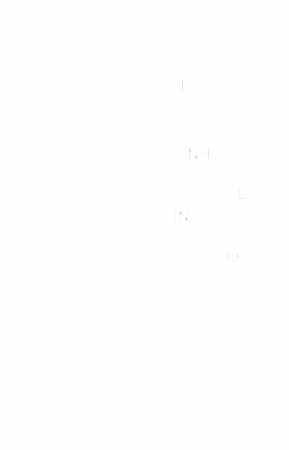 CCC(NCC(O)c1ccccc1)NC(=O)Cc1ccccc1